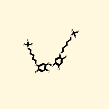 Fc1cc(Cl)c(SSc2cc(OCCCCCSC(F)(F)F)c(F)cc2Cl)cc1OCCCCCSC(F)(F)F